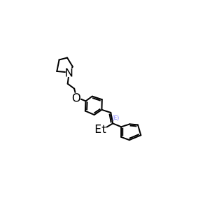 CC/C(=C\c1ccc(OCCN2CCCC2)cc1)c1ccccc1